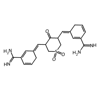 N=C(N)C1=CC(=CC2CS(=O)(=O)CC(C=C3C=C(C(=N)N)C=CC3)C2=O)CC=C1